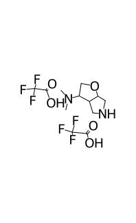 CN(C)C1COC2CNCC21.O=C(O)C(F)(F)F.O=C(O)C(F)(F)F